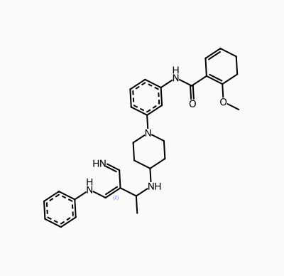 COC1=C(C(=O)Nc2cccc(N3CCC(NC(C)/C(C=N)=C/Nc4ccccc4)CC3)c2)C=CCC1